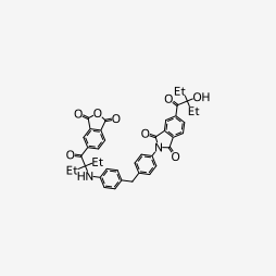 CCC(O)(CC)C(=O)c1ccc2c(c1)C(=O)N(c1ccc(Cc3ccc(NC(CC)(CC)C(=O)c4ccc5c(c4)C(=O)OC5=O)cc3)cc1)C2=O